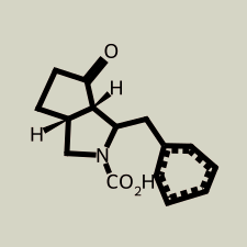 O=C1CC[C@H]2CN(C(=O)O)C(Cc3ccccc3)[C@@H]12